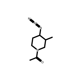 CC(=O)N1CCC(N=[N+]=[N-])C(C)C1